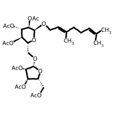 CC(=O)OC[C@H]1O[C@@H](OC[C@H]2O[C@H](OC/C=C(\C)CCC=C(C)C)[C@H](OC(C)=O)[C@@H](OC(C)=O)[C@@H]2OC(C)=O)[C@@H](OC(C)=O)[C@@H]1OC(C)=O